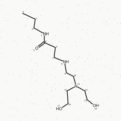 CCCNC(=O)CCNCCN(CCO)CCO